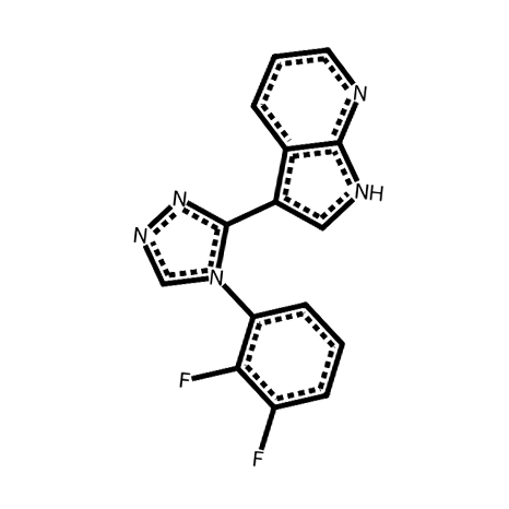 Fc1cccc(-n2cnnc2-c2c[nH]c3ncccc23)c1F